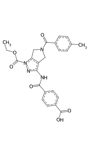 CCOC(=O)n1nc(NC(=O)c2ccc(C(=O)O)cc2)c2c1CN(C(=O)c1ccc(C)cc1)C2